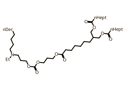 CCCCCCCCCCCCCCN(CC)CCCOC(=O)OCCCOC(=O)CCCCCCC(COC(=O)CCCCCCC)COC(=O)CCCCCCC